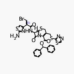 Nc1nc(/C(=C\Br)C(=O)NC2C(=O)N3C(C(=O)OC(c4ccccc4)c4ccccc4)=C(CSc4nncs4)CS[C@H]23)cs1